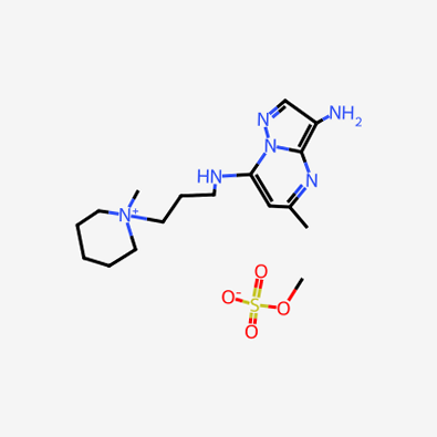 COS(=O)(=O)[O-].Cc1cc(NCCC[N+]2(C)CCCCC2)n2ncc(N)c2n1